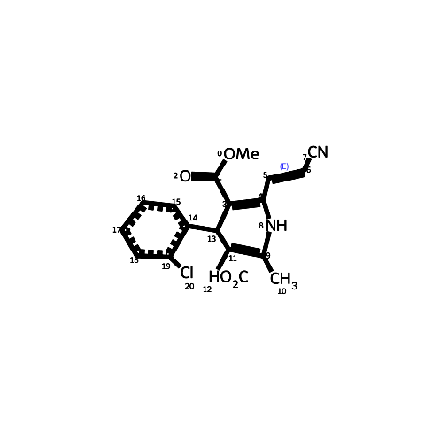 COC(=O)C1=C(/C=C/C#N)NC(C)=C(C(=O)O)C1c1ccccc1Cl